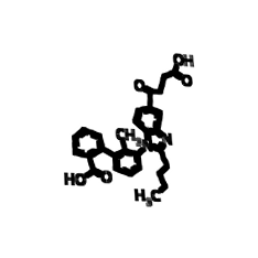 CCCCc1nc2cc(C(=O)CCC(=O)O)ccc2n1-c1cccc(-c2ccccc2C(=O)O)c1C